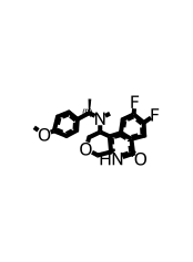 COc1ccc([C@@H](C)N(C)C2COCc3[nH]c(=O)c4cc(F)c(F)cc4c32)cc1